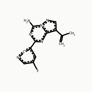 C=C(C)c1cnn2c(N)nc(-c3cncc(F)c3)nc12